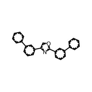 c1ccc(-c2cccc(-c3coc(-c4cccc(-c5ccccc5)c4)n3)c2)cc1